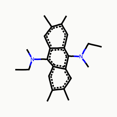 CCN(C)c1c2cc(C)c(C)cc2c(N(C)CC)c2cc(C)c(C)cc12